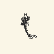 C=C(C=O)CCCOCCOCCNc1cccc2c1C(=O)N(C1CCC(=O)NC1=O)C2=O